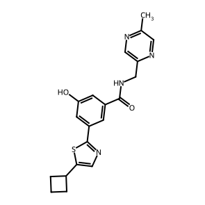 Cc1cnc(CNC(=O)c2cc(O)cc(-c3ncc(C4CCC4)s3)c2)cn1